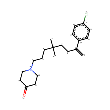 C=C(CCC(C)(C)CCCN1CCC(=O)CC1)c1ccc(Cl)cc1